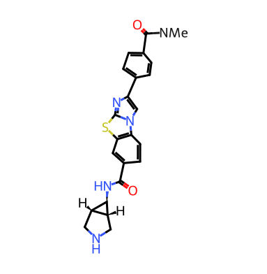 CNC(=O)c1ccc(-c2cn3c(n2)sc2cc(C(=O)N[C@H]4[C@@H]5CNC[C@@H]54)ccc23)cc1